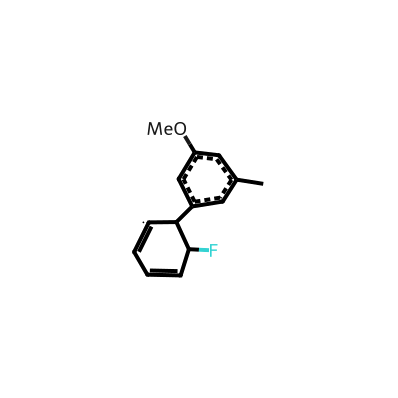 COc1cc(C)cc(C2[C]=CC=CC2F)c1